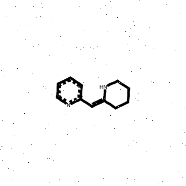 C(=C1CCCCN1)c1ccccn1